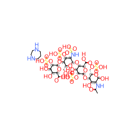 C1CNCCNC1.CC(=O)N[C@@H]1[C@@H](O)[C@H](O[C@@H]2O[C@H](C(=O)O)[C@@H](O[C@@H]3O[C@H](CO)[C@@H](O[C@H]4O[C@@H](C(=O)O)[C@H](O)[C@@H](O)[C@@H]4OS(=O)(=O)O)[C@H](OS(=O)(=O)O)[C@H]3NS(=O)(=O)O)[C@H](O)[C@H]2OS(=O)(=O)O)[C@H](COS(=O)(=O)O)O[C@H]1O